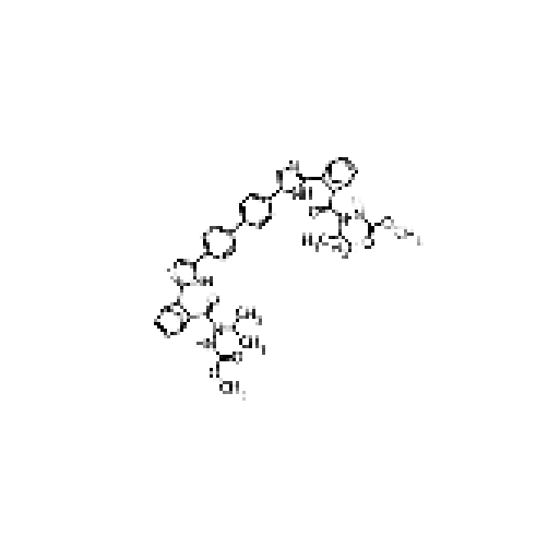 COC(=O)NN(C(=O)C1C2C=CC(C2)C1c1ncc(-c2ccc(-c3ccc(-c4cnc(C5C6C=CC(C6)C5C(=O)N(NC(=O)OC)C(C)C)[nH]4)cc3)cc2)[nH]1)C(C)C